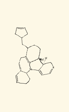 C1=CC2=CCC3=C4[C@H](CCC3CC3CC=CC3)[C@H]3CN=CC=C3N4C2CC1